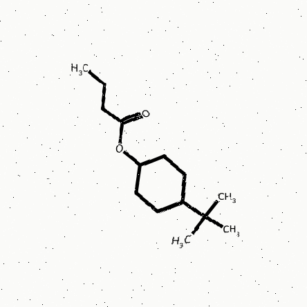 CCCC(=O)OC1CCC(C(C)(C)C)CC1